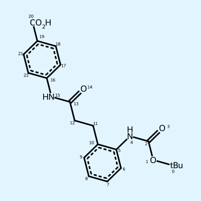 CC(C)(C)OC(=O)Nc1ccccc1CCC(=O)Nc1ccc(C(=O)O)cc1